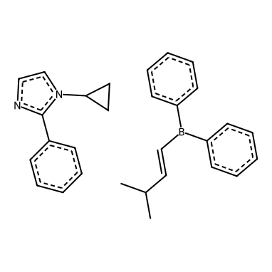 CC(C)C=CB(c1ccccc1)c1ccccc1.c1ccc(-c2nccn2C2CC2)cc1